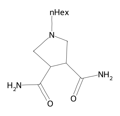 CCCCCCN1CC(C(N)=O)C(C(N)=O)C1